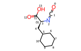 O=C=N[C@@H](CC1CCCCC1)C(=O)O